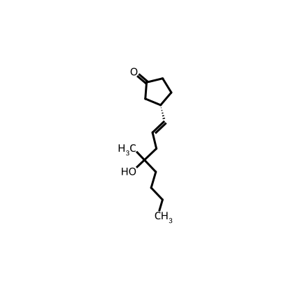 CCCCC(C)(O)C/C=C/[C@H]1CCC(=O)C1